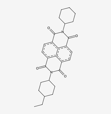 CCC1CCC(N2C(=O)c3ccc4c5c(ccc(c35)C2=O)C(=O)N(C2CCCCC2)C4=O)CC1